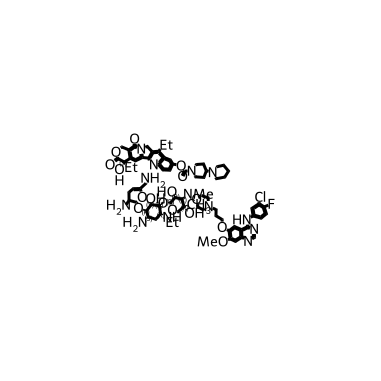 CCN[C@@H]1C[C@H](N)[C@@H](OC2OC(CN)=CCC2N)[C@H](O)[C@H]1O[C@H]1OC[C@](C)(O)[C@H](NC)[C@H]1O.CCc1c2c(nc3ccc(OC(=O)N4CCC(N5CCCCC5)CC4)cc13)-c1cc3c(c(=O)n1C2)COC(=O)[C@]3(O)CC.COc1cc2ncnc(Nc3ccc(F)c(Cl)c3)c2cc1OCCCN1CCOCC1